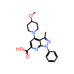 COC1CCN(c2cc(C(=O)O)nc3c2c(C)nn3-c2ccccc2)CC1